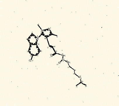 Cc1nn(C)c(-n2ccc3cc(Cl)ccc32)c1/C=C/C(=O)N[S+]([O-])NCCCOC(C)C